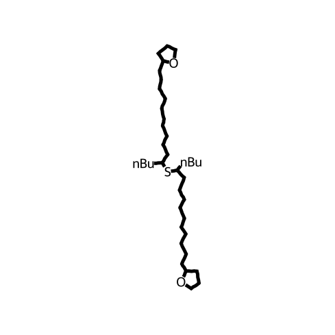 CCCCC(CCCCCCCCCCC1CCCO1)SC(CCCC)CCCCCCCCCCC1CCCO1